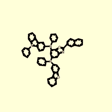 c1ccc(N(c2cc(N(c3ccccc3)c3ccc4c(c3)c3ccccc3n4-c3ccccc3)c3oc(-c4ccc5ccccc5c4)nc3c2)c2ccc3oc4ccccc4c3c2)cc1